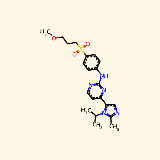 COCCCS(=O)(=O)c1ccc(Nc2nccc(-c3cnc(C)n3C(C)C)n2)cc1